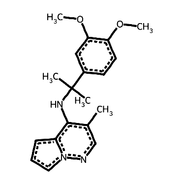 COc1ccc(C(C)(C)Nc2c(C)cnn3cccc23)cc1OC